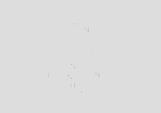 [O-][N+](O)(O)C1=CC([N+]([O-])(O)O)N([N+]([O-])(O)O)C=C1